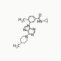 Cc1ccc(C(=O)NC2CC2)cc1-n1cnc2c(N3CCC(C)CC3)ncnc21